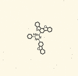 c1ccc(C2N=C(c3ccc4c(c3)oc3ccccc34)N=C(c3cc4c5ccccc5oc4c4c3sc3ccccc34)N2)cc1